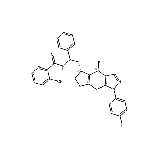 C[C@@H]1C2=C(CC[C@@H]2CC(NC(=O)c2ncccc2O)c2ccccc2)Cc2c1cnn2-c1ccc(F)cc1